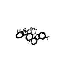 CN(C)C1(c2ccccc2)CCC2(CC1F)OCCc1c2[nH]c2ccc(F)cc12